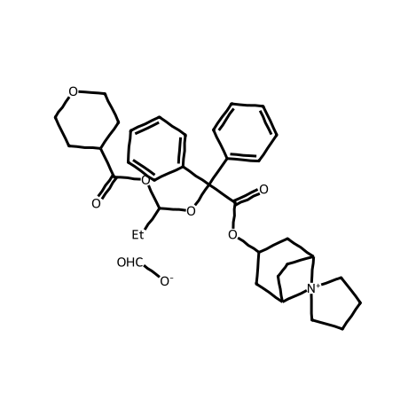 CCC(OC(=O)C1CCOCC1)OC(C(=O)OC1CC2CCC(C1)[N+]21CCCC1)(c1ccccc1)c1ccccc1.O=C[O-]